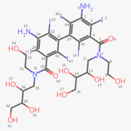 Nc1c(I)c(C(=O)N(CCO)CC(O)C(O)CO)c(I)c(-c2c(I)c(N)c(I)c(C(=O)N(CCO)CC(O)C(O)CO)c2I)c1I